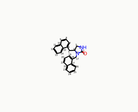 O=C1NCC(Cc2cccc3ccccc23)N1Cc1cccc2ccccc12